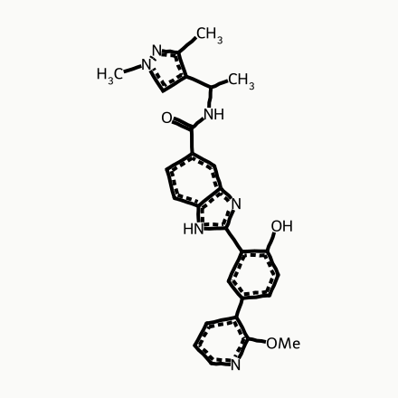 COc1ncccc1-c1ccc(O)c(-c2nc3cc(C(=O)NC(C)c4cn(C)nc4C)ccc3[nH]2)c1